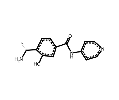 C[C@@H](N)c1ccc(C(=O)Nc2ccncc2)cc1O